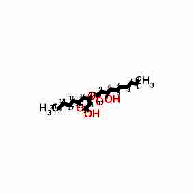 CCCCCCCC(O)CC(=O)OC(CCCCCCC)CC(=O)O